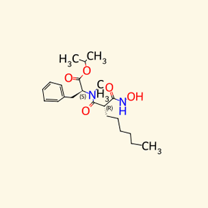 CCCCCC[C@@H](C(=O)NO)C(=O)N(C)[C@@H](Cc1ccccc1)C(=O)OC(C)C